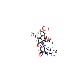 Cc1cc(O)cc(O)c1-c1ccc2oc3cc(=O)c(N)c(C)c-3nc2c1C